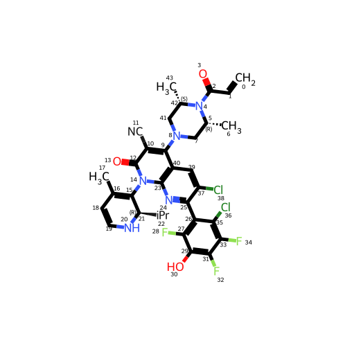 C=CC(=O)N1[C@H](C)CN(c2c(C#N)c(=O)n(C3=C(C)C=CN[C@@H]3C(C)C)c3nc(-c4c(F)c(O)c(F)c(F)c4Cl)c(Cl)cc23)C[C@@H]1C